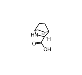 O=C(O)[C@H]1NC2CCC1CC2